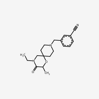 CCN1CC2(CCN(Cc3cccc(C#N)c3)CC2)OC(C)C1=O